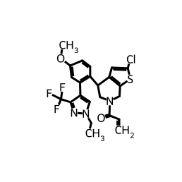 C=CC(=O)N1Cc2sc(Cl)cc2C(c2ccc(OC)cc2-c2cn(CC)nc2C(F)(F)F)C1